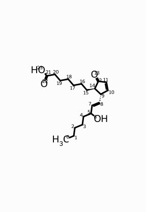 CCCCCC(O)C=C[C@H]1C=CC(=O)[C@@H]1CCCCCCC(=O)O